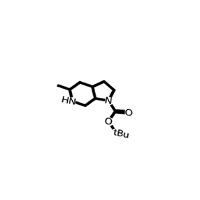 CC1CC2CCN(C(=O)OC(C)(C)C)C2CN1